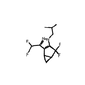 CC(C)Cn1nc(C(F)F)c2c1C(F)(F)C1CC21